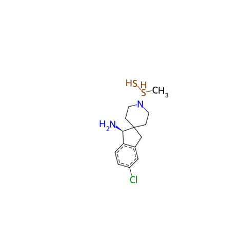 C[SH](S)N1CCC2(CC1)Cc1cc(Cl)ccc1[C@H]2N